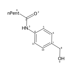 CCCCCC(=O)Nc1ccc(CO)cc1